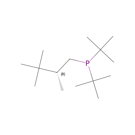 C[C@@H](CP(C(C)(C)C)C(C)(C)C)C(C)(C)C